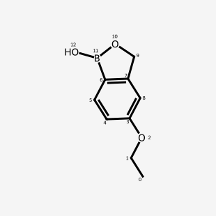 CCOc1ccc2c(c1)COB2O